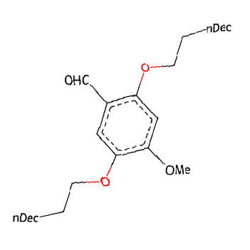 CCCCCCCCCCCCOc1cc(OC)c(OCCCCCCCCCCCC)cc1C=O